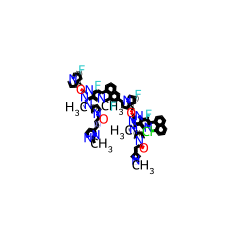 CCc1c(F)c(C2CC[C@@]3(COc4nc(N(C)[C@@H]5CCN(C(=O)C=C6CN(C)C6)C5)c5cnc(-c6cccc7cccc(Cl)c67)c(F)c5n4)C[C@@H](F)CN23)cc2cccc(-c3ncc4c(N(C)[C@@H]5CCN(C(=O)/C=C/c6ccnc(C)n6)C5)nc(OC[C@@]56CCCN5C[C@H](F)C6)nc4c3F)c12